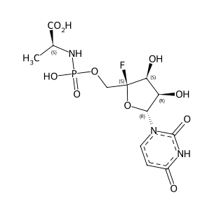 C[C@H](NP(=O)(O)OC[C@@]1(F)O[C@@H](n2ccc(=O)[nH]c2=O)[C@H](O)[C@@H]1O)C(=O)O